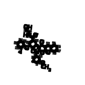 COc1cccc(CCN(C(=O)c2cc3ccccc3oc2=O)[C@@H]2CC(C(=O)NCCO)=C[C@H](Oc3ccccc3I)[C@H]2O)c1